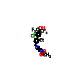 CCc1cc(CN2CC3(C2)CN(S(C)(=O)=O)C3)ccc1-c1ccc(C(O)(C(F)(F)F)C(F)(F)F)cc1Cl